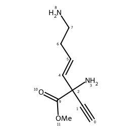 C#CC(N)(C=CCCN)C(=O)OC